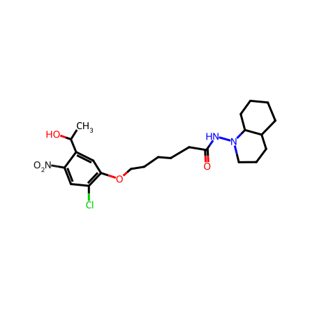 CC(O)c1cc(OCCCCCC(=O)NN2CCCC3CCCCC32)c(Cl)cc1[N+](=O)[O-]